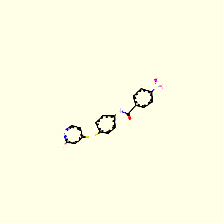 O=C(Nc1ccc(Sc2ccnc(O)c2)cc1)c1ccc([N+](=O)[O-])cc1